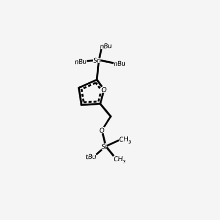 CCC[CH2][Sn]([CH2]CCC)([CH2]CCC)[c]1ccc(CO[Si](C)(C)C(C)(C)C)o1